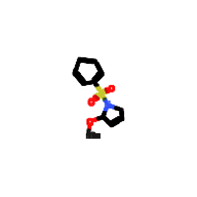 CCCCOC1C=CCN1S(=O)(=O)c1ccccc1